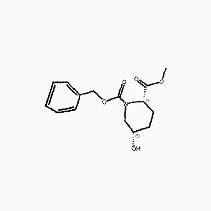 COC(=O)[C@@H]1CC[C@H](O)CN1C(=O)OCc1ccccc1